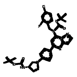 CC(C)(C)OC(=O)N[C@H]1CCN(c2ccc(-c3cc(N(Cc4ccc(Cl)cc4F)C(=O)OC(C)(C)C)n4nccc4n3)cc2)C1